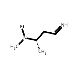 CCN(C)[C@@H](C)CC=N